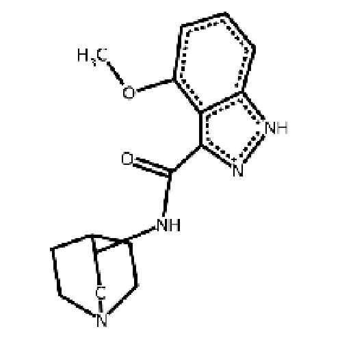 COc1cccc2[nH]nc(C(=O)NC3CN4CCC3CC4)c12